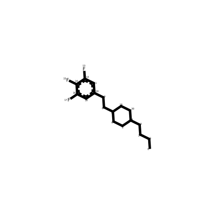 CCCCC1CCC(CCc2cc(F)c(F)c(F)c2)CC1